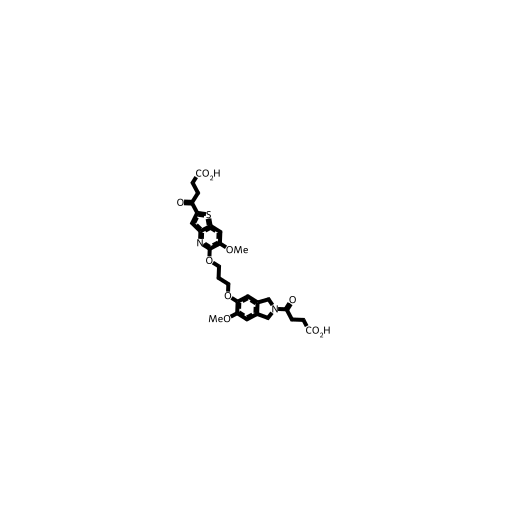 COc1cc2c(cc1OCCCOc1nc3cc(C(=O)CCC(=O)O)sc3cc1OC)CN(C(=O)CCC(=O)O)C2